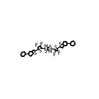 Fc1c(-c2cc3cc(-c4ccccc4)ccc3s2)sc(-c2nc3sc(-c4sc(-c5cc6cc(-c7ccccc7)ccc6s5)c(F)c4F)nc3s2)c1F